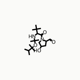 CC(C)C(C)(C)OC(C)(C)NC(C(=O)N1CC(O)CC1C=O)C(C)(C)C